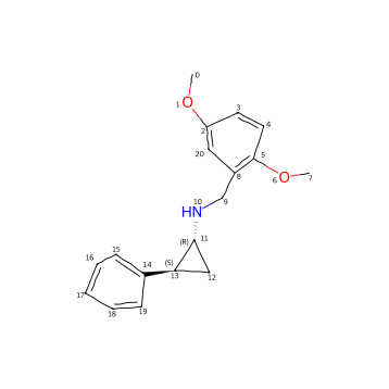 COc1ccc(OC)c(CN[C@@H]2C[C@H]2c2ccccc2)c1